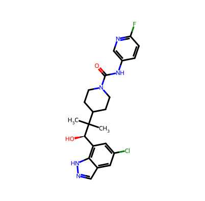 CC(C)(C1CCN(C(=O)Nc2ccc(F)nc2)CC1)[C@H](O)c1cc(Cl)cc2cn[nH]c12